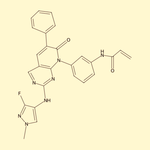 C=CC(=O)Nc1cccc(-n2c(=O)c(-c3ccccc3)cc3cnc(Nc4cn(C)nc4F)nc32)c1